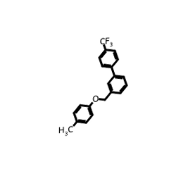 Cc1ccc(OCc2cccc(-c3ccc(C(F)(F)F)cc3)c2)cc1